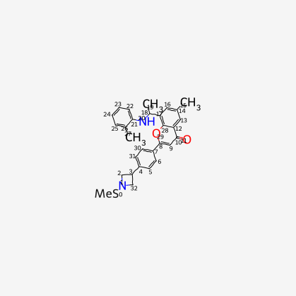 CSN1CC(c2ccc(-c3cc(=O)c4cc(C)cc(C(C)Nc5ccccc5C)c4o3)cc2)C1